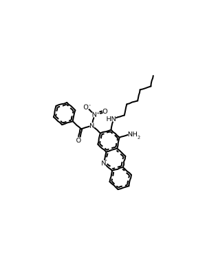 CCCCCCNc1c(N(C(=O)c2ccccc2)[N+](=O)[O-])cc2nc3ccccc3cc2c1N